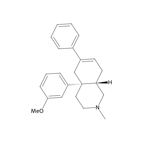 COc1cccc([C@@]23CCN(C)C[C@H]2CC=C(c2ccccc2)C3)c1